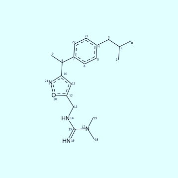 CC(C)Cc1ccc(C(C)c2cc(CNC(=N)N(C)C)on2)cc1